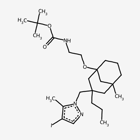 CCCC1(Cn2ncc(I)c2C)CC2(C)CCCC(OCCNC(=O)OC(C)(C)C)(C2)C1